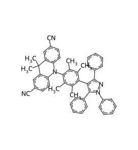 Cc1c(C)c(N2c3ccc(C#N)cc3C(C)(C)c3cc(C#N)ccc32)c(C)c(C)c1-c1c(-c2ccccc2)nn(-c2ccccc2)c1-c1ccccc1